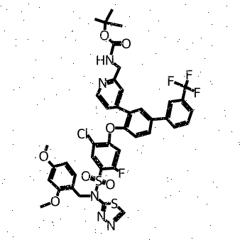 COc1ccc(CN(c2nncs2)S(=O)(=O)c2cc(Cl)c(Oc3ccc(-c4cccc(C(F)(F)F)c4)cc3-c3ccnc(CNC(=O)OC(C)(C)C)c3)cc2F)c(OC)c1